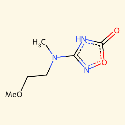 COCCN(C)c1noc(=O)[nH]1